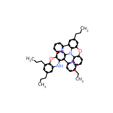 CCCc1cc(CCC)c2c(c1)Nc1c(ccc(N3c4cc(CCC)ccc4Oc4cc(CCC)cc(-c5ccccn5)c43)c1-c1ccccn1)O2